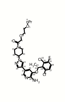 CCCOCCOCC(=O)N1CCC(n2cc(-c3cnc(N)c(O[C@H](C)c4c(Cl)ccc(F)c4Cl)c3)cn2)CC1